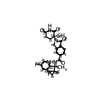 CC(NC(=O)c1ccc2c(c1)CN([C@]1([SiH3])CCC(=O)NC1=O)C2=O)(c1ncc(F)cc1F)C1(F)CC1